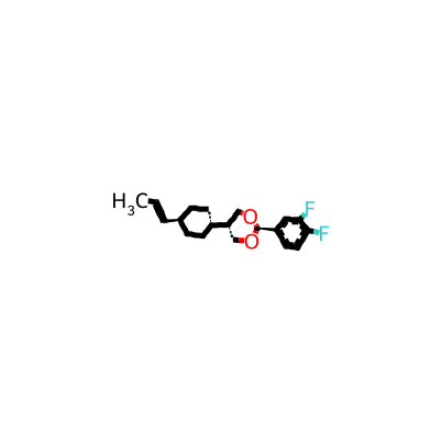 CC=C[C@H]1CC[C@H]([C@H]2CO[C@H](c3ccc(F)c(F)c3)OC2)CC1